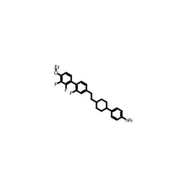 CCCc1ccc(C2CCC(CCc3ccc(-c4ccc(OCC)c(F)c4F)c(F)c3)CC2)cc1